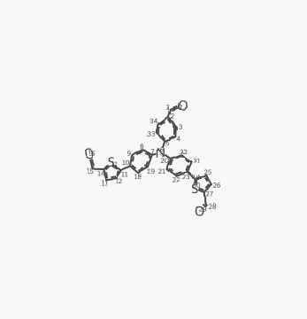 O=Cc1ccc(N(c2ccc(-c3ccc(C=O)s3)cc2)c2ccc(-c3ccc(C=O)s3)cc2)cc1